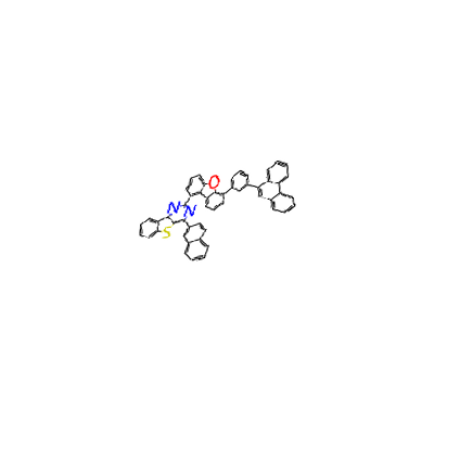 c1cc(-c2cc3ccccc3c3ccccc23)cc(-c2cccc3c2oc2cccc(-c4nc(-c5ccc6ccccc6c5)c5sc6ccccc6c5n4)c23)c1